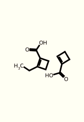 CCC1=C(C(=O)O)CC1.O=C(O)C1=CCC1